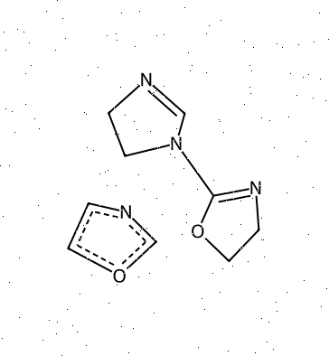 C1=NCCN1C1=NCCO1.c1cocn1